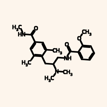 CNC(=O)c1cc(C)c(CC(CNC(=O)c2ccccc2OC)N(C)C)c(C)c1